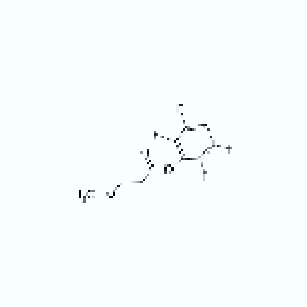 COCCC(=O)Oc1c(F)c(F)cc(F)c1F